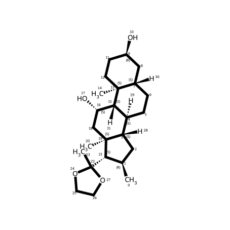 C[C@@H]1C[C@H]2[C@@H]3CC[C@H]4C[C@H](O)CC[C@]4(C)[C@H]3[C@@H](O)C[C@]2(C)[C@H]1C1(C)OCCO1